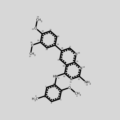 COc1ccc(C)cc1Nc1nc(N)nc2ncc(-c3ccc(OC)c(OC)c3)cc12